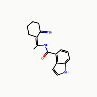 C/C(NC(=O)c1cccc2[nH]ccc12)=C1\CCCCC1=N